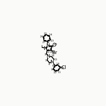 Cn1c(CN2CCN(c3cccc(Cl)c3)CC2)c(Br)c(=O)n1-c1ccccc1